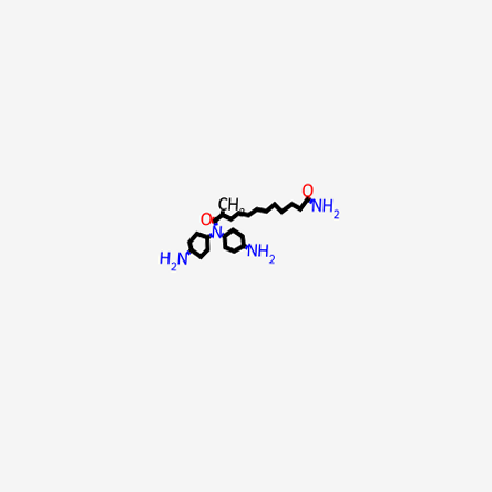 CC(CCCCCCCCCC(N)=O)C(=O)N(C1CCC(N)CC1)C1CCC(N)CC1